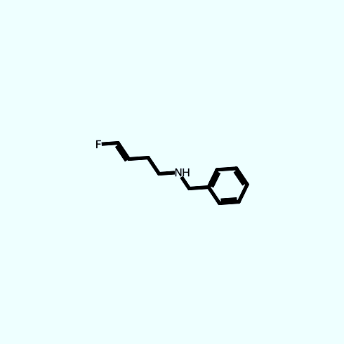 F/C=C/CCNCc1ccccc1